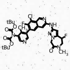 Cc1c(-c2cc3cc(Nc4cc5n(n4)CC(=O)N(C)CC5F)ncc3c(Cl)c2F)cncc1N(C(=O)OC(C)(C)C)C(=O)OC(C)(C)C